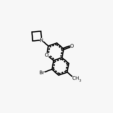 Cc1cc(Br)c2oc(N3CCC3)cc(=O)c2c1